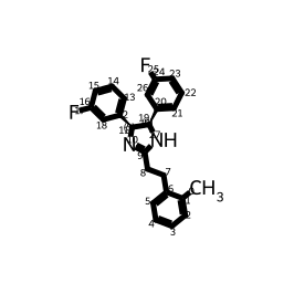 Cc1ccccc1CCC1=N[C@@H](c2cccc(F)c2)[C@@H](c2cccc(F)c2)N1